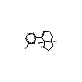 Brc1cncc(C2=CCC[C@@H]3CCN[C@H]23)c1